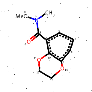 CON(C)C(=O)c1cccc2c1OCCO2